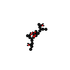 CCCCC1(CCCC)c2cc(-c3ccccc3)ccc2-c2ccc(-c3ccc(N(c4ccc(-c5ccc6c(c5)C(c5ccccc5)(c5cc7c(c8ccccc58)CC7)c5cc(-c7ccc(N(c8ccc(-c9ccccc9)cc8)c8ccc9c(c8)C(CCCC)(CCCC)c8ccccc8-9)cc7)ccc5-6)cc4)c4ccc5c(c4)C(CCCC)(CCCC)c4ccccc4-5)cc3)cc21